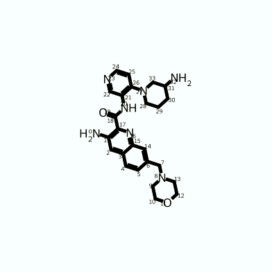 Nc1cc2ccc(CN3CCOCC3)cc2nc1C(=O)Nc1cnccc1N1CCCC(N)C1